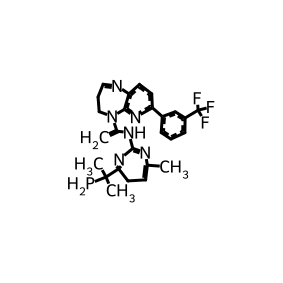 C=C(NC1=NC(C)=CCC(C(C)(C)P)=N1)N1CCC=Nc2ccc(-c3cccc(C(F)(F)F)c3)nc21